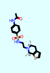 CC(=O)Nc1ccc(S(=O)(=O)NCCN2[C@H](C)Cc3ccsc3[C@@H]2C)cc1